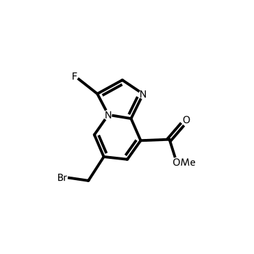 COC(=O)c1cc(CBr)cn2c(F)cnc12